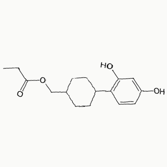 CCC(=O)OCC1CCC(c2ccc(O)cc2O)CC1